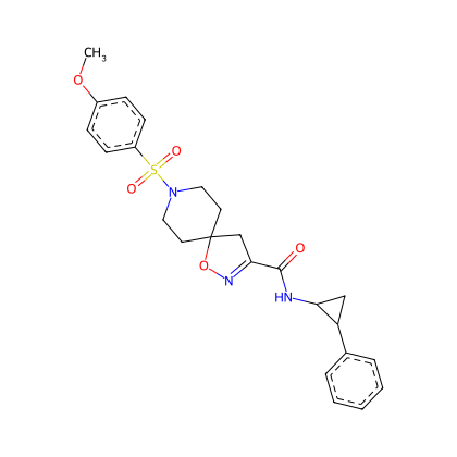 COc1ccc(S(=O)(=O)N2CCC3(CC2)CC(C(=O)NC2CC2c2ccccc2)=NO3)cc1